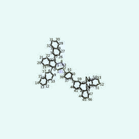 C/C=C(\C=C/c1cc(-c2ccc3ccccc3c2)c2ccccc2c1-c1ccc2ccccc2c1)c1ccc(-c2ccc3c4ccccc4n4c5ccccc5nc4c3c2)cc1